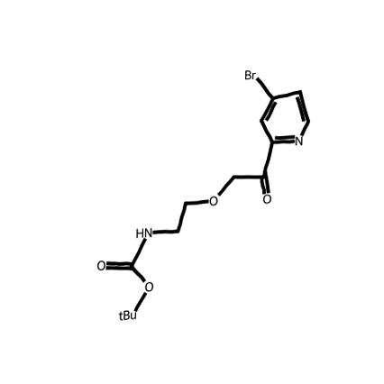 CC(C)(C)OC(=O)NCCOCC(=O)c1cc(Br)ccn1